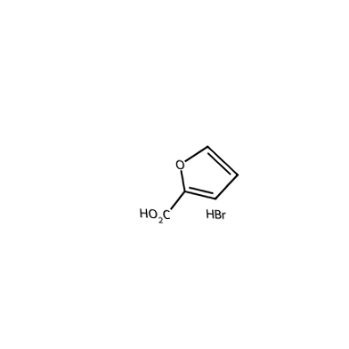 Br.O=C(O)c1ccco1